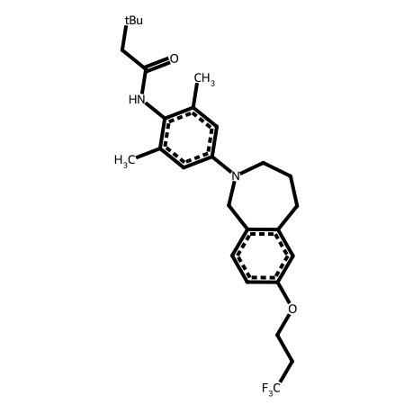 Cc1cc(N2CCCc3cc(OCCC(F)(F)F)ccc3C2)cc(C)c1NC(=O)CC(C)(C)C